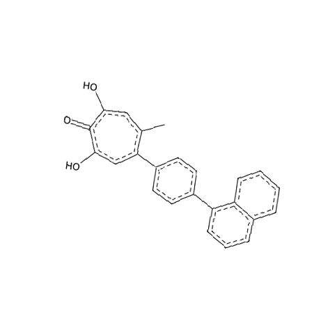 Cc1cc(O)c(=O)c(O)cc1-c1ccc(-c2cccc3ccccc23)cc1